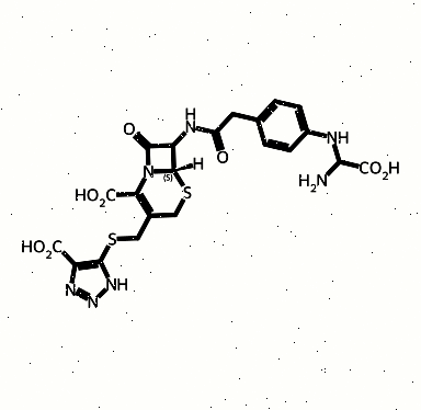 NC(Nc1ccc(CC(=O)NC2C(=O)N3C(C(=O)O)=C(CSc4[nH]nnc4C(=O)O)CS[C@@H]23)cc1)C(=O)O